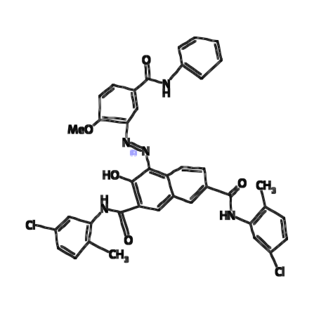 COc1ccc(C(=O)Nc2ccccc2)cc1/N=N/c1c(O)c(C(=O)Nc2cc(Cl)ccc2C)cc2cc(C(=O)Nc3cc(Cl)ccc3C)ccc12